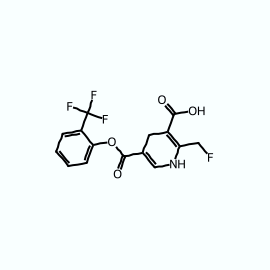 O=C(O)C1=C(CF)NC=C(C(=O)Oc2ccccc2C(F)(F)F)C1